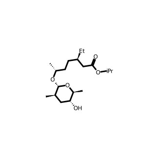 CC[C@H](CC[C@@H](C)O[C@@H]1O[C@@H](C)[C@H](O)C[C@H]1C)CC(=O)OC(C)C